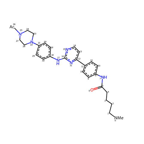 CNCCCCC(=O)Nc1ccc(-c2ccnc(Nc3ccc(N4CCN(C(C)=O)CC4)cc3)n2)cc1